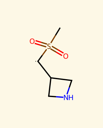 CS(=O)(=O)[CH]C1CNC1